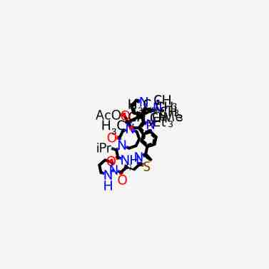 CCn1c(-c2cccnc2[C@H](C)OC)c(CC(C)(C)COC(C)=O)c2cc(-c3csc(C[C@H](NC(=O)C(C(C)C)N4CCCCN(C(=O)C#CC(C)(C)N(C)C)CC4=O)C(=O)N4CCCCN4)n3)ccc21